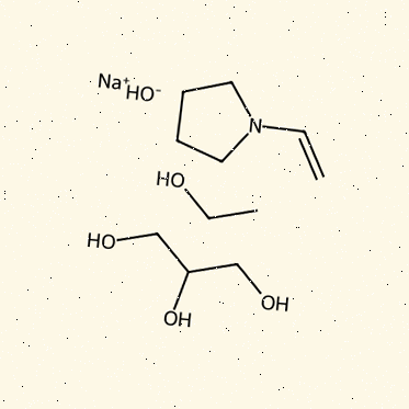 C=CN1CCCC1.CCO.OCC(O)CO.[Na+].[OH-]